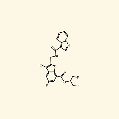 O=C(OC(CF)CF)c1cc(F)cc2c(Cl)c(CNC(=O)c3cnn4cccnc34)oc12